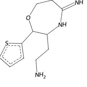 N=C1CCOC(c2cccs2)C(CCN)N1